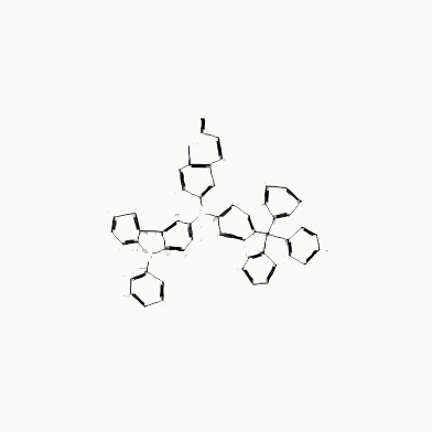 C=C/C=C\c1cc(N(c2ccc(C(c3ccccc3)(c3ccccc3)c3ccccc3)cc2)c2ccc3c(c2)c2ccccc2n3-c2ccccc2)ccc1C